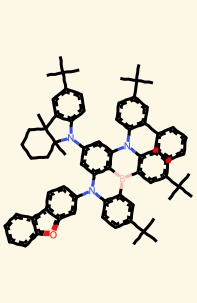 CC(C)(C)c1ccc2c(c1)B1c3cc(C(C)(C)C)ccc3N(c3ccc(C(C)(C)C)cc3-c3ccccc3)c3cc(N4c5ccc(C(C)(C)C)cc5C5(C)CCCCC45C)cc(c31)N2c1ccc2c(c1)oc1ccccc12